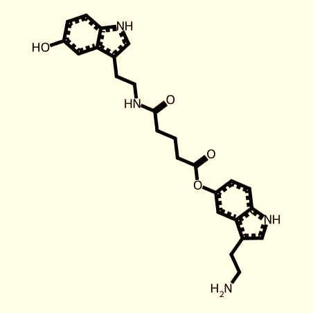 NCCc1c[nH]c2ccc(OC(=O)CCCC(=O)NCCc3c[nH]c4ccc(O)cc34)cc12